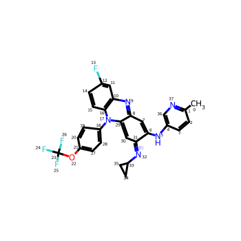 Cc1ccc(Nc2cc3nc4cc(F)ccc4n(-c4ccc(OC(F)(F)F)cc4)c-3c/c2=N\C2CC2)cn1